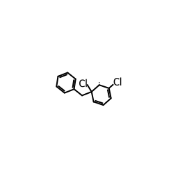 ClC1=CC=CC(Cl)(Cc2ccccc2)[CH]1